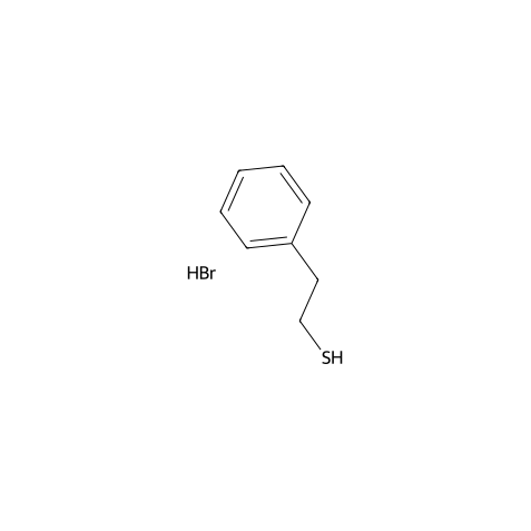 Br.SCCc1ccccc1